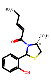 O=C(O)C/C=C/C(=O)N1C(c2ccccc2O)SC[C@H]1C(=O)O